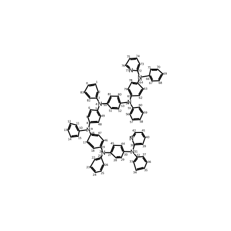 c1ccc(N(c2ccc(N(c3ccccc3)c3ccc(N(c4ccccc4)c4ccc(N(c5ccccc5)c5ccccn5)cc4)cc3)cc2)c2ccc(N(c3ccccc3)c3ccc(N(c4ccccc4)c4ccccn4)cc3)cc2)cc1